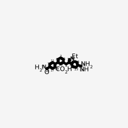 CCn1cc(Cc2cccc(-c3ccc(C(N)=O)cc3C(=O)O)c2)c2ccc(C(=N)N)cc21